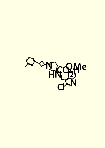 COc1ccc2ncc(Cl)c(CCNC3(C(=O)O)CCCN(C4CC(c5cccc(C)c5)C4)CC3)c2c1